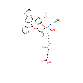 CCCn1c(=O)n(CCNC(=O)CCCC(=O)O)c(=O)n(CCOC(c2ccccc2)(c2ccc(OC)cc2)c2ccc(OC)cc2)c1=O